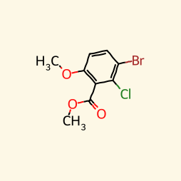 COC(=O)c1c(OC)ccc(Br)c1Cl